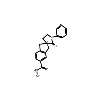 O=C(NO)c1ccc2c(c1)C[C@]1(CCN(c3cccnc3)C1=O)C2